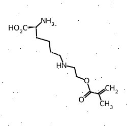 C=C(C)C(=O)OCCNCCCC[C@H](N)C(=O)O